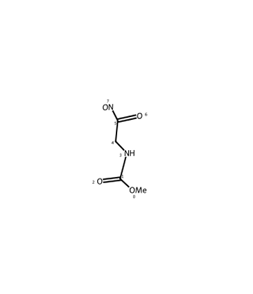 COC(=O)NCC(=O)N=O